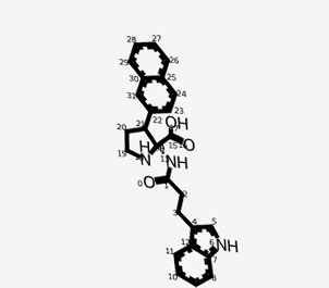 O=C(CCc1c[nH]c2ccccc12)N[C@]1(C(=O)O)NCCC1c1ccc2ccccc2c1